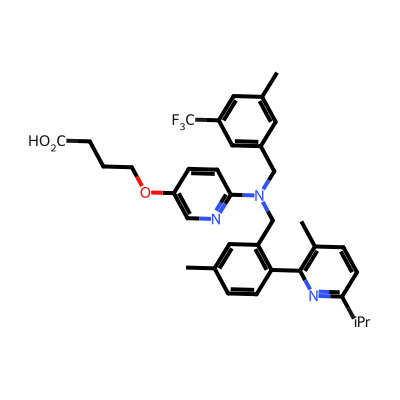 Cc1cc(CN(Cc2cc(C)ccc2-c2nc(C(C)C)ccc2C)c2ccc(OCCCC(=O)O)cn2)cc(C(F)(F)F)c1